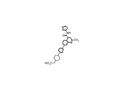 Cc1cc(C(=O)Nc2nncs2)c2ccc(-c3ccc(C4CCC(CC(=O)O)CC4)cc3)cc2n1